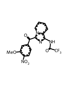 COc1cc(C(=O)c2nc(NC(=O)C(F)(F)F)c3ccccn23)ccc1[N+](=O)[O-]